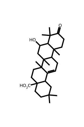 CC1(C)CCC2(C(=O)O)CCC3(C)C(=CCC4C5(C)CCC(=O)C(C)(C)C5C(O)CC43C)C2C1